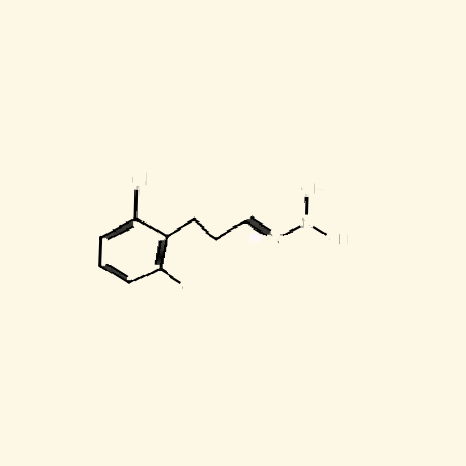 CN(C)/N=C/CCc1c(Cl)cccc1Cl